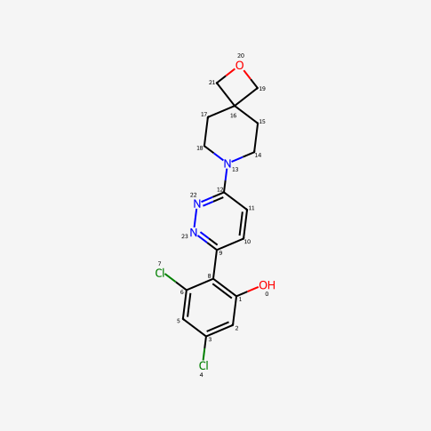 Oc1cc(Cl)cc(Cl)c1-c1ccc(N2CCC3(CC2)COC3)nn1